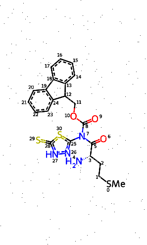 CSCC[C@H](N)C(=O)N(C(=O)OCC1c2ccccc2-c2ccccc21)c1n[nH]c(=S)s1